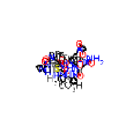 CCCN(C(=O)[C@@H](NC(=O)[C@H]1CCCCN1C)[C@@H](C)CC)[C@H](C[C@@H](OC(=O)NC)c1nc(C(=O)N[C@@H](Cc2ccccc2NC(=O)[C@H](CCCNC(N)=O)NC(=O)[C@@H](NC(=O)CCCCCN2C(=O)C=CC2=O)C(C)C)C[C@H](C)C(=O)O)cs1)C(C)C